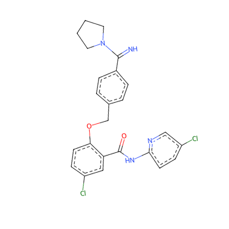 N=C(c1ccc(COc2ccc(Cl)cc2C(=O)Nc2ccc(Cl)cn2)cc1)N1CCCC1